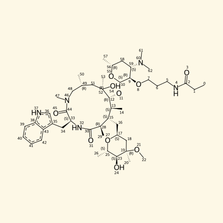 CCC(=O)NCCCO[C@H]1[C@H](O[C@@H]2[C@@H](C)[C@H](C[C@H]3C[C@@](C)(OC)[C@@H](O)[C@H](C)O3)[C@@H](C)C(=O)N[C@@H](Cc3c[nH]c4ccccc34)C(=O)N(C)C[C@H](C)C[C@@]2(C)O)O[C@H](C)C[C@@H]1N(C)C